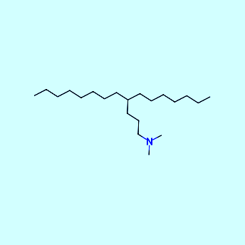 CCCCCCCCC(CCCCCCC)CCCN(C)C